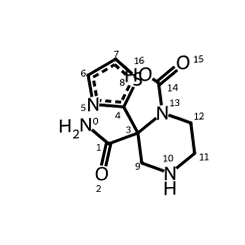 NC(=O)C1(c2nccs2)CNCCN1C(=O)O